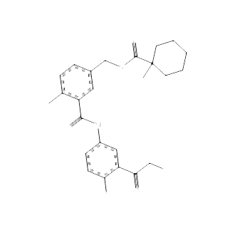 Cc1ccc(CNC(=O)C2(C)CCCCC2)cc1C(=O)Nc1ccc(Cl)c(C(=O)CO)c1